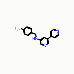 FC(F)(F)c1ccc(CNc2cncc(-c3ccncc3)c2)cc1